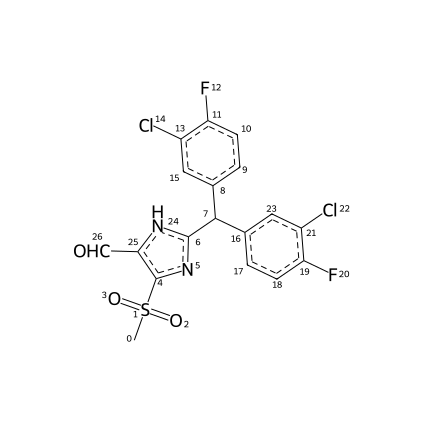 CS(=O)(=O)c1nc(C(c2ccc(F)c(Cl)c2)c2ccc(F)c(Cl)c2)[nH]c1C=O